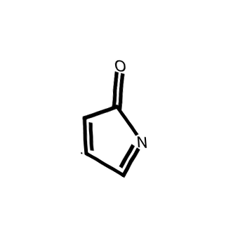 O=C1C=[C]C=N1